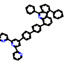 c1ccc(-c2nc3c(-c4ccc(-c5ccc(-c6cc(-c7ccccn7)nc(-c7ccccn7)c6)cc5)cc4)cccc3c3c(-c4ccccc4)cccc23)cc1